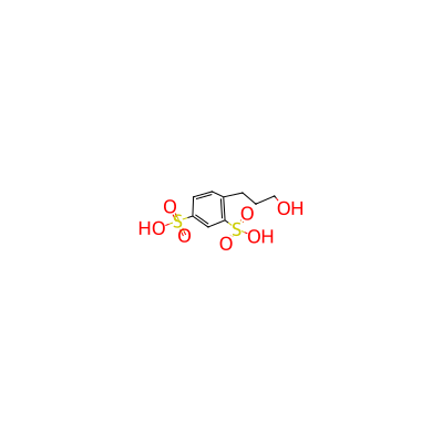 O=S(=O)(O)c1ccc(CCCO)c(S(=O)(=O)O)c1